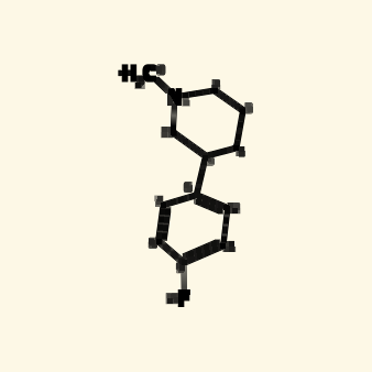 [CH2]N1CCCC(c2ccc(F)cc2)C1